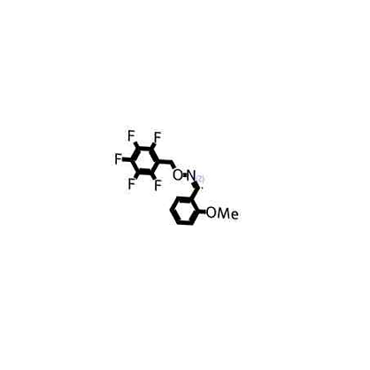 COc1ccccc1/[C]=N\OCc1c(F)c(F)c(F)c(F)c1F